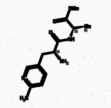 CC[C@H](C)[C@H](NC(=O)[C@@H](N)Cc1ccc(N)nc1)C(=O)NC